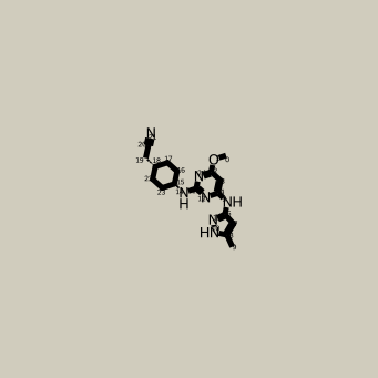 COc1cc(Nc2cc(C)[nH]n2)nc(N[C@H]2CC[C@@H](CC#N)CC2)n1